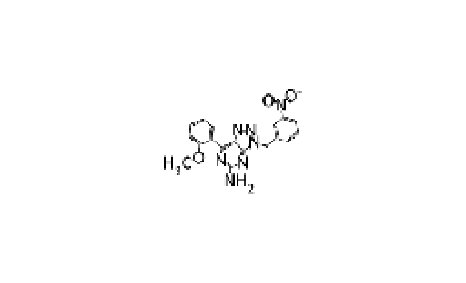 COc1ccccc1-c1nc(N)nc2c1nnn2Cc1cccc([N+](=O)[O-])c1